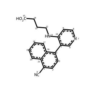 N#Cc1ccc(-c2cnccc2NCCCC(=O)O)c2ccccc12